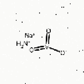 [NH2-].[Na+].[O]=[V](=[O])[O-]